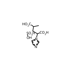 CC(CC(C(=O)O)n1ccnc1)C(=O)O.O=S(=O)(O)O